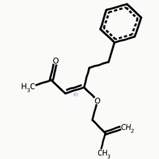 C=C(C)CO/C(=C/C(C)=O)CCc1ccccc1